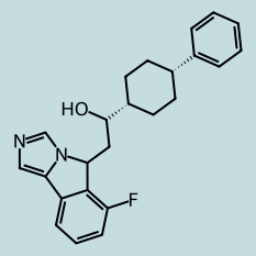 OC(CC1c2c(F)cccc2-c2cncn21)[C@H]1CC[C@@H](c2ccccc2)CC1